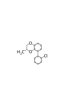 [CH2]C1COc2cccc(-c3ccccc3Cl)c2O1